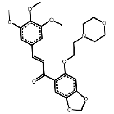 COc1cc(/C=C/C(=O)c2cc3c(cc2OCCN2CCOCC2)OCO3)cc(OC)c1OC